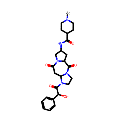 CC(=O)N1CCC(C(=O)NC2CC3C(=O)N4CCN(C(=O)C(O)c5ccccc5)C4CC(=O)N3C2)CC1